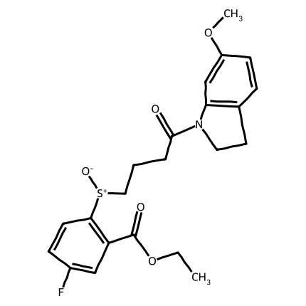 CCOC(=O)c1cc(F)ccc1[S+]([O-])CCCC(=O)N1CCc2ccc(OC)cc21